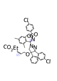 CCOC(=O)/C=C\COC1(c2ccccc2)CN(/C(=N/S(=O)(=O)c2ccc(Cl)cc2)c2c(C)cc(C)cc2C)N=C1c1ccc(Cl)cc1